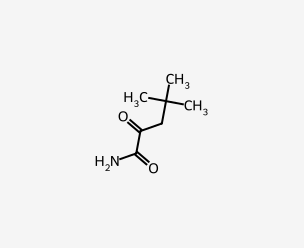 CC(C)(C)CC(=O)C(N)=O